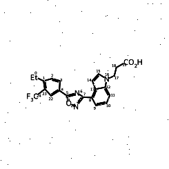 CCc1ccc(-c2nc(-c3cccc4c3ccn4CCC(=O)O)no2)cc1C(F)(F)F